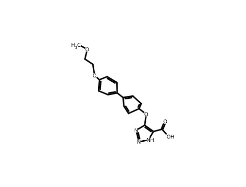 COCCOc1ccc(-c2ccc(Oc3nn[nH]c3C(=O)O)cc2)cc1